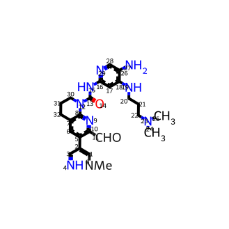 CN/C=C(\C=N)c1cc2c(nc1C=O)N(C(=O)Nc1cc(NCCCN(C)C)c(N)cn1)CCC2